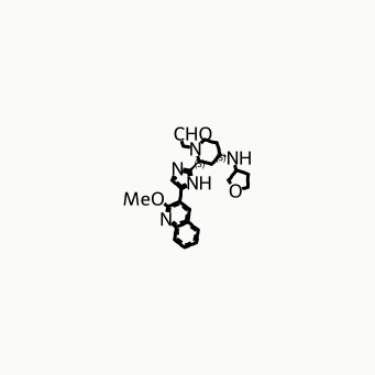 COc1nc2ccccc2cc1-c1cnc([C@@H]2C[C@@H](NC3CCOC3)CCN2CC=O)[nH]1